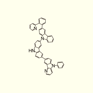 c1ccc(-n2c3ccc(-c4ccc5[nH]c6ccc(-n7c8ccccc8c8cc(-c9ccccc9-c9ccccn9)ccc87)cc6c5c4)cc3c3ncccc32)cc1